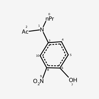 CCCN(C(C)=O)c1ccc(O)c([N+](=O)[O-])c1